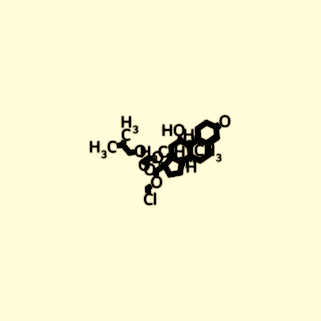 CC(C)COC(=O)O[C@]1(C(=O)OCCl)CC[C@H]2[C@@H]3CCC4=CC(=O)CC[C@]4(C)[C@H]3[C@H](O)C[C@@]21C